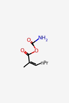 CCCC=C(C)C(=O)OC(N)=O